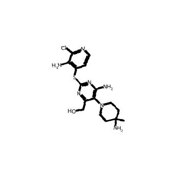 CC1(N)CCN(c2c(N)nc(Sc3ccnc(Cl)c3N)nc2CO)CC1